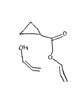 C=CO.C=COC(=O)C1CC1